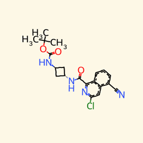 CC(C)(C)OC(=O)N[C@H]1C[C@H](NC(=O)c2nc(Cl)cc3c(C#N)cccc23)C1